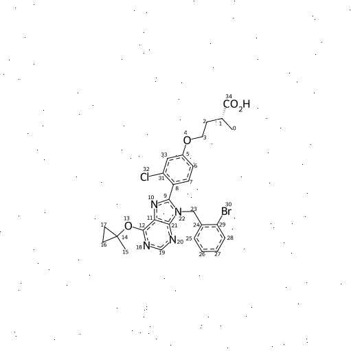 C[C@H](CCOc1ccc(-c2nc3c(OC4(C)CC4)ncnc3n2Cc2ccccc2Br)c(Cl)c1)C(=O)O